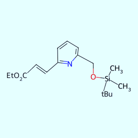 CCOC(=O)/C=C/c1cccc(CO[Si](C)(C)C(C)(C)C)n1